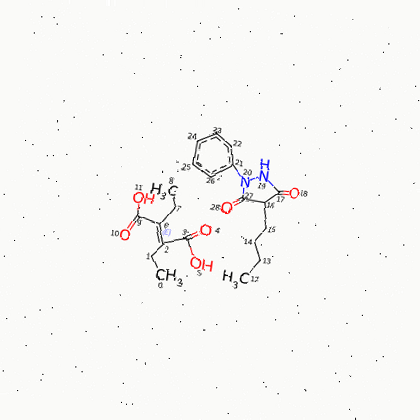 CC/C(C(=O)O)=C(/CC)C(=O)O.CCCCC1C(=O)NN(c2ccccc2)C1=O